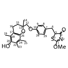 COC1=NC(=O)C(Cc2ccc(OCC3(C)CCc4c(C)c(O)c(C)c(C)c4O3)cc2)S1